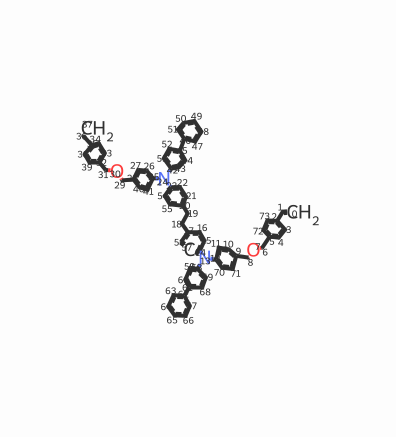 C=Cc1ccc(COCc2ccc(N(c3ccc(CCc4ccc(N(c5ccc(COCc6ccc(C=C)cc6)cc5)c5ccc(-c6ccccc6)cc5)cc4)cc3)c3ccc(-c4ccccc4)cc3)cc2)cc1